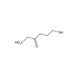 O=C(O)CC(=O)CCCS